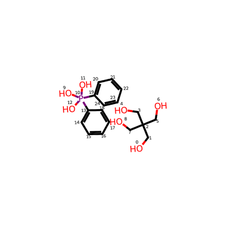 OCC(CO)(CO)CO.OP(O)(O)(c1ccccc1)c1ccccc1